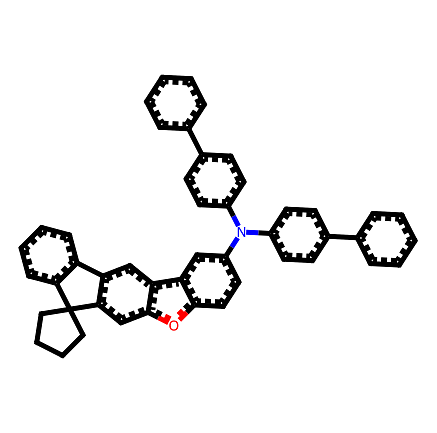 c1ccc(-c2ccc(N(c3ccc(-c4ccccc4)cc3)c3ccc4oc5cc6c(cc5c4c3)-c3ccccc3C63CCCC3)cc2)cc1